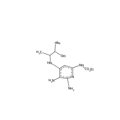 CCCCC(O)C(C)Nc1cc(NC(=O)OCC)nc(N)c1N